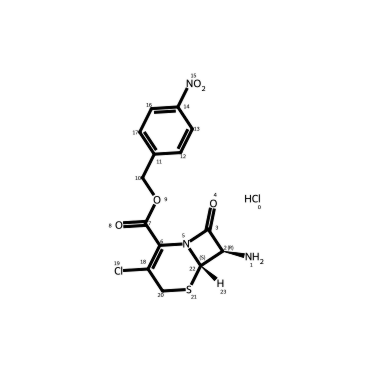 Cl.N[C@@H]1C(=O)N2C(C(=O)OCc3ccc([N+](=O)[O-])cc3)=C(Cl)CS[C@@H]12